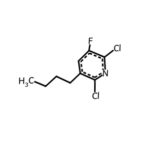 CCCCc1cc(F)c(Cl)nc1Cl